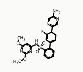 COc1cc(NS(=O)(=O)c2ccccc2C2=CCC(c3cnc(N)cn3)C(F)=C2)nc(OC)n1